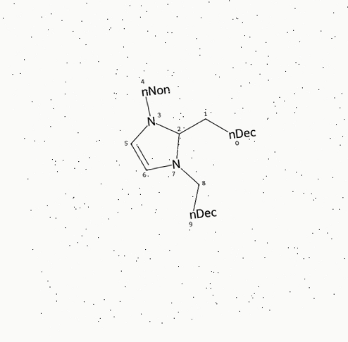 CCCCCCCCCCCC1N(CCCCCCCCC)C=CN1CCCCCCCCCCC